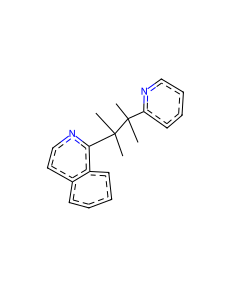 CC(C)(c1ccccn1)C(C)(C)c1nccc2ccccc12